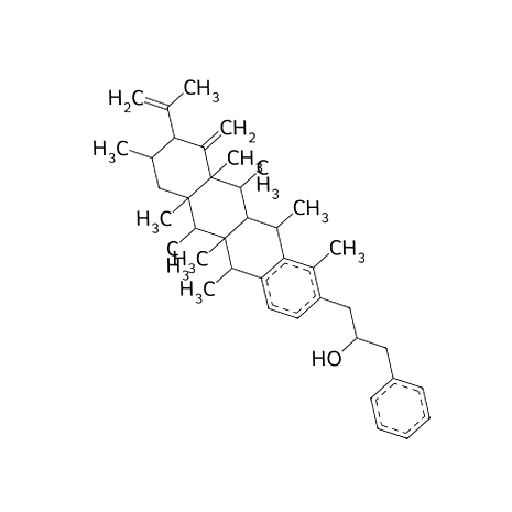 C=C(C)C1C(=C)C2(C)C(C)C3C(C)c4c(ccc(CC(O)Cc5ccccc5)c4C)C(C)C3(C)C(C)C2(C)CC1C